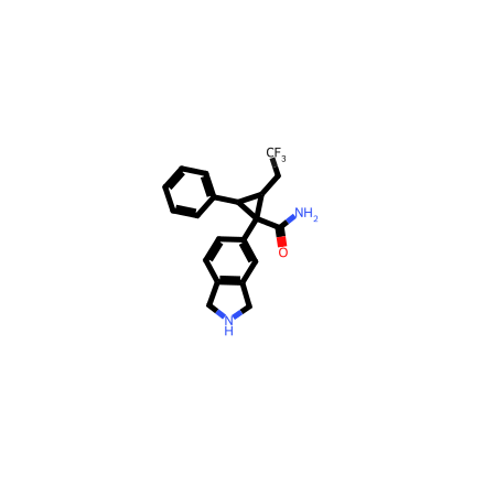 NC(=O)C1(c2ccc3c(c2)CNC3)C(CC(F)(F)F)C1c1ccccc1